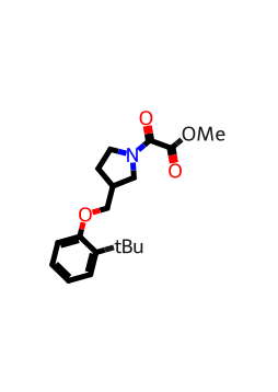 COC(=O)C(=O)N1CCC(COc2ccccc2C(C)(C)C)C1